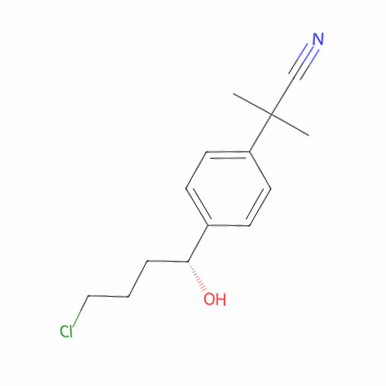 CC(C)(C#N)c1ccc([C@H](O)CCCCl)cc1